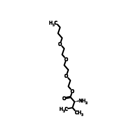 CCCCOCCOCCOCCOC(=O)[C@H](N)C(C)C